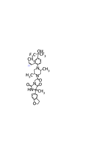 C/C=C\c1cc(C(O)(C(F)(F)F)C(F)(F)F)ccc1N1CC(C)N(C(=O)CN2C(=O)N[C@@](C)(c3ccc4c(c3)CCO4)C2=O)CC1C